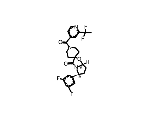 CC(F)(F)c1cc(C(=O)N2CCC3(CC2)O[C@@H]2CC[C@@H](c4cc(F)cc(F)c4)N2C3=O)ccn1